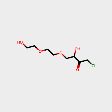 O=C(CCl)C(O)COCCOCCO